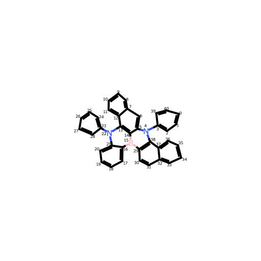 c1ccc(N2c3cc4ccccc4c4c3B(c3ccccc3N4c3ccccc3)c3ccc4ccccc4c32)cc1